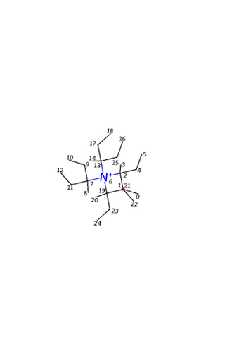 CCC(C)(CC)[N+](C(C)(CC)CC)(C(C)(CC)CC)C(C)(CC)CC